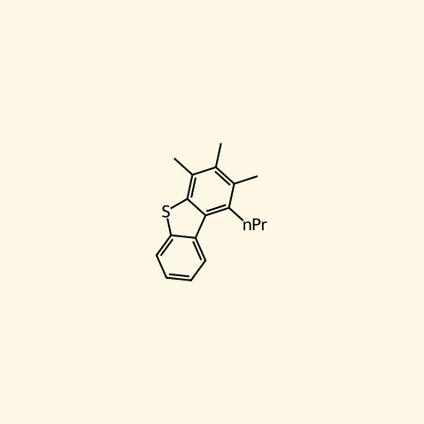 CCCc1c(C)c(C)c(C)c2sc3ccccc3c12